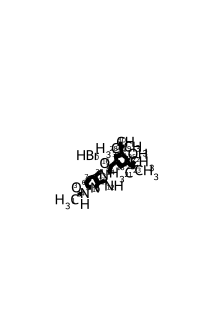 Br.CC(=O)Nc1ccc2c(n1)C(=N)N(CC(=O)c1cc(C(C)(C)C)c(O)c(C(C)(C)C)c1)C2